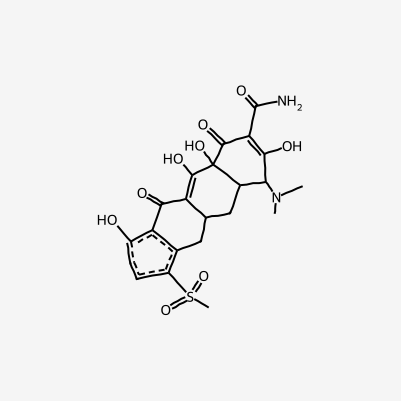 CN(C)C1C(O)=C(C(N)=O)C(=O)C2(O)C(O)=C3C(=O)c4c(O)ccc(S(C)(=O)=O)c4CC3CC12